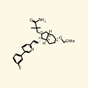 COCO[C@@H]1CC[C@@H]2[C@@H](C1)C[C@H](CC(C)(C)C(N)=O)[C@H]2/C=C/c1ccc(-c2cccc(F)c2)cn1